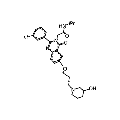 CC(C)NC(=O)Cn1c(-c2cccc(Cl)c2)nc2ccc(OCCCN3CCCC(O)C3)cc2c1=O